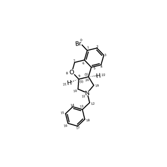 Brc1cccc2c1CO[C@@H]1CN(Cc3ccccc3)C[C@H]21